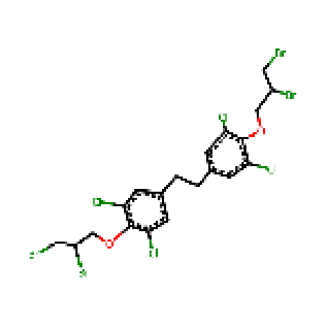 Clc1cc(CCc2cc(Cl)c(OCC(Br)CBr)c(Cl)c2)cc(Cl)c1OCC(Br)CBr